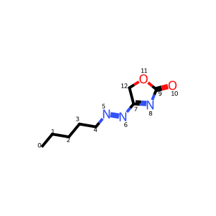 CCCCCN=NC1=NC(=O)OC1